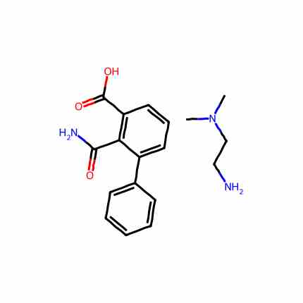 CN(C)CCN.NC(=O)c1c(C(=O)O)cccc1-c1ccccc1